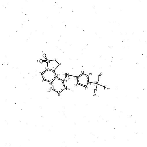 O=S1(=O)CCc2c1ccc1ncnc(Nc3ccc(C(F)(F)F)cc3)c21